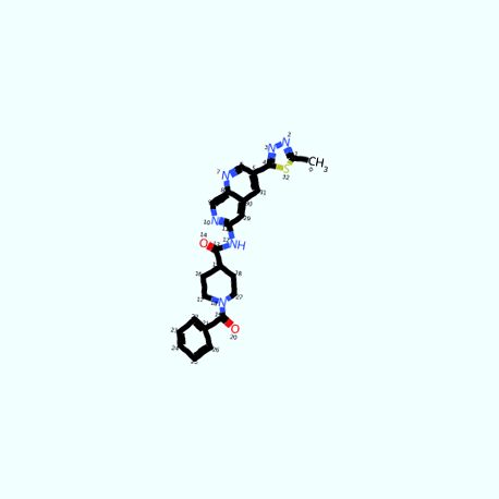 Cc1nnc(-c2cnc3cnc(NC(=O)C4CCN(C(=O)c5ccccc5)CC4)cc3c2)s1